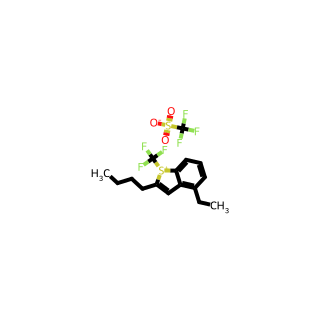 CCCCc1cc2c(CC)cccc2[s+]1C(F)(F)F.O=S(=O)([O-])C(F)(F)F